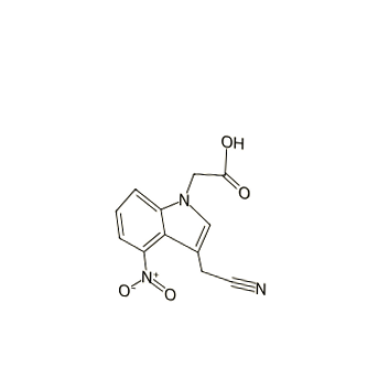 N#CCc1cn(CC(=O)O)c2cccc([N+](=O)[O-])c12